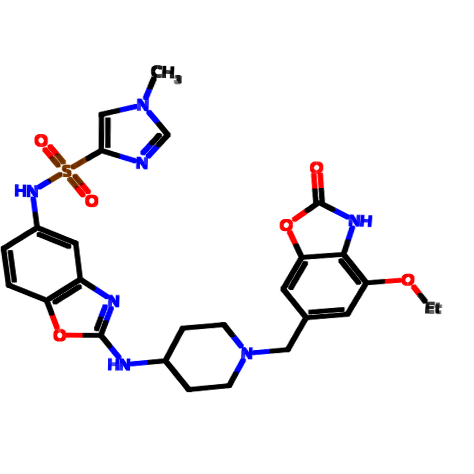 CCOc1cc(CN2CCC(Nc3nc4cc(NS(=O)(=O)c5cn(C)cn5)ccc4o3)CC2)cc2oc(=O)[nH]c12